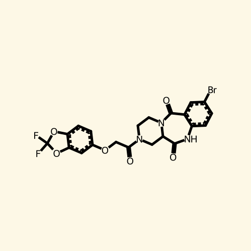 O=C1Nc2ccc(Br)cc2C(=O)N2CCN(C(=O)COc3ccc4c(c3)OC(F)(F)O4)CC12